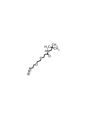 CC(C)(C)CNC(=O)CCOCCOCCN=[N+]=[N-]